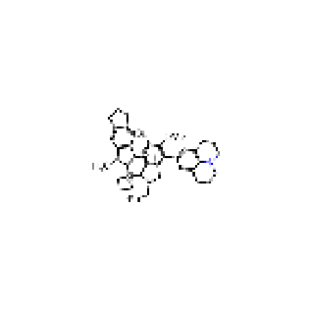 COc1c(C(C)(C)C)cc2c(c1-c1cc3c4c(c1)CCCN4CCC3)CC(CC(C)(C)C)C2[Si]1(C2C(C)c3cc4c(cc3C2C)CCC4)CCC1